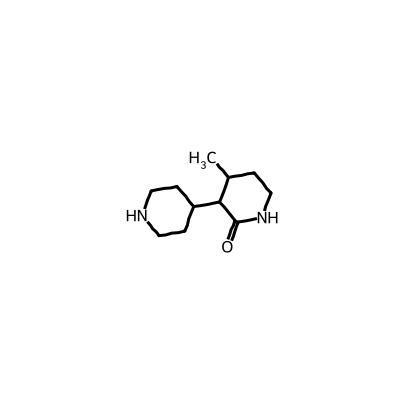 CC1CCNC(=O)C1C1CCNCC1